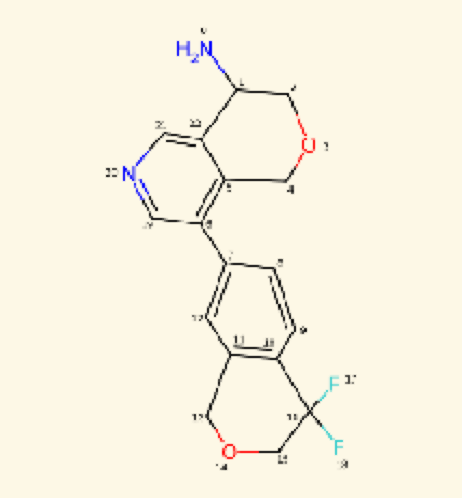 NC1COCc2c(-c3ccc4c(c3)COCC4(F)F)cncc21